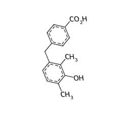 Cc1ccc(Cc2ccc(C(=O)O)cc2)c(C)c1O